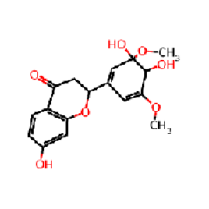 COC1=CC(C2CC(=O)c3ccc(O)cc3O2)=CC(O)(OC)C1O